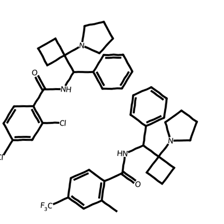 Cc1cc(C(F)(F)F)ccc1C(=O)NC(c1ccccc1)C1(N2CCCC2)CCC1.O=C(NC(c1ccccc1)C1(N2CCCC2)CCC1)c1ccc(Cl)cc1Cl